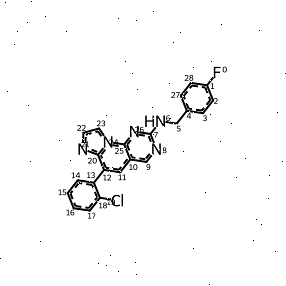 Fc1ccc(CNc2ncc3cc(-c4ccccc4Cl)c4nccn4c3n2)cc1